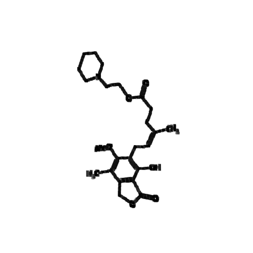 COc1c(C)c2c(c(O)c1CC=C(C)CCC(=O)OCCN1CCCCC1)C(=O)OC2